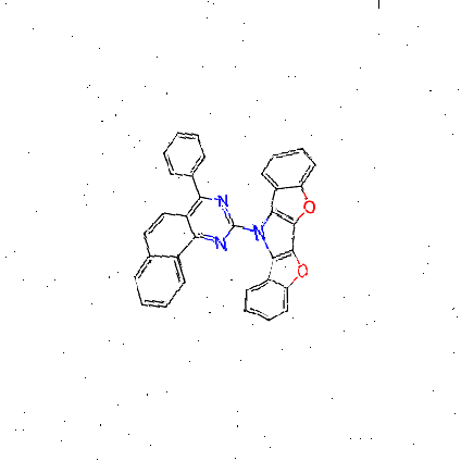 c1ccc(-c2nc(-n3c4c5ccccc5oc4c4oc5ccccc5c43)nc3c2ccc2ccccc23)cc1